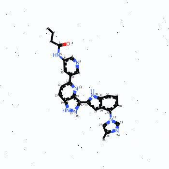 CCCC(=O)Nc1cncc(-c2ccc3[nH]nc(-c4cc5c(-n6cnc(C)c6)cccc5[nH]4)c3n2)c1